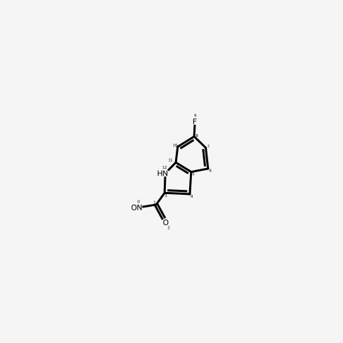 O=NC(=O)c1cc2ccc(F)cc2[nH]1